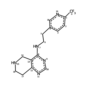 FC(F)(F)c1ccc(CCNc2ncnc3c2CNCC3)cn1